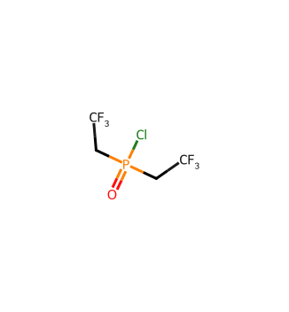 O=P(Cl)(CC(F)(F)F)CC(F)(F)F